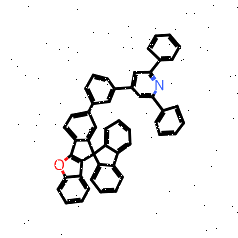 c1ccc(-c2cc(-c3cccc(-c4ccc5c(c4)C4(c6ccccc6-c6ccccc64)c4c-5oc5ccccc45)c3)cc(-c3ccccc3)n2)cc1